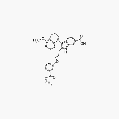 COC(=O)c1cccc(OCCCc2[nH]c3cc(C(=O)O)ccc3c2C2=CCCc3c(OC)cccc32)c1